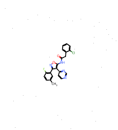 Cc1ccc(F)c(-c2noc(NC(=O)Cc3ccccc3Cl)c2-c2ccncn2)c1